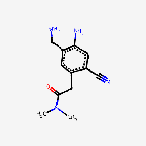 CN(C)C(=O)Cc1cc(CN)c(N)cc1C#N